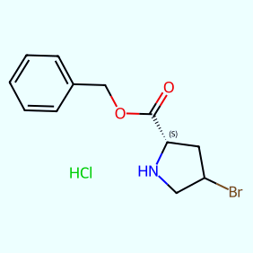 Cl.O=C(OCc1ccccc1)[C@@H]1CC(Br)CN1